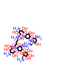 NCC[C@H](O)C(=O)N[C@@H]1C[C@H](N)[C@@H](O[C@H]2O[C@H](CN)[C@@H](O)[C@H](O)[C@H]2O)[C@H](O)[C@H]1O[C@H]1O[C@H](CO)[C@@H](O)[C@H](N)[C@H]1O.NC[C@H]1O[C@H](O[C@H]2[C@H](O)[C@@H](O[C@H]3O[C@H](CO)[C@@H](O)[C@H](N)[C@H]3O)[C@H](N)C[C@@H]2N)[C@H](N)C[C@@H]1O